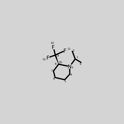 CC(C)N1CCCC[C@H]1C(F)(F)F